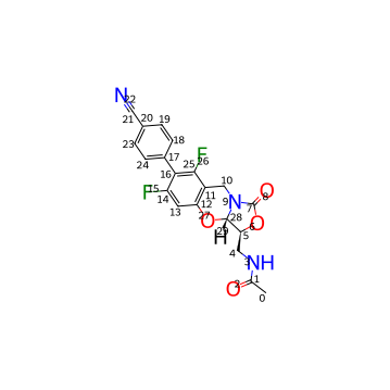 CC(=O)NC[C@@H]1OC(=O)N2Cc3c(cc(F)c(-c4ccc(C#N)cc4)c3F)O[C@@H]12